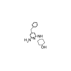 Nc1cc(Cc2ccccc2)cc(N[C@H]2CC[C@H](O)CC2)n1